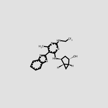 Cc1nc(NCC(F)(F)F)nc(N[C@H]2C[C@H](O)[C@@H]3C[C@@H]32)c1-c1nc2ccccc2s1